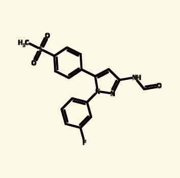 CS(=O)(=O)c1ccc(-c2cc(NC=O)nn2-c2cccc(F)c2)cc1